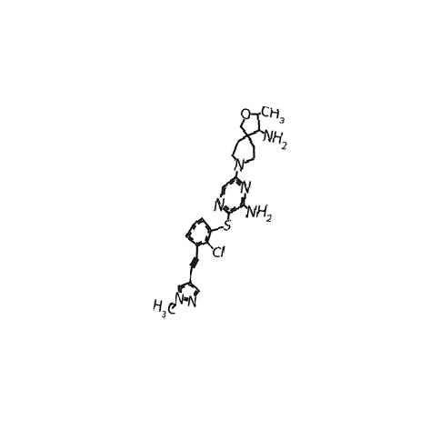 C[C@@H]1OCC2(CCN(c3cnc(Sc4cccc(C#Cc5cnn(C)c5)c4Cl)c(N)n3)CC2)[C@@H]1N